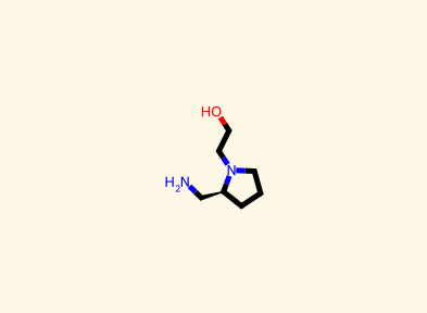 NC[C@@H]1CCCN1CCO